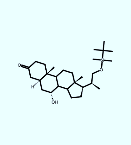 C[C@H](CO[Si](C)(C)C(C)(C)C)[C@H]1CCC2C3C(CC[C@@]21C)[C@@]1(C)CCC(=O)C[C@@H]1C[C@H]3O